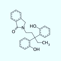 CCC(CCN1Cc2ccccc2C1=O)(c1ccccc1O)c1ccccc1O